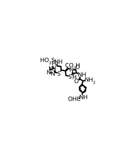 NC(C(=O)NC1C(=O)N2C(C(=O)O)=C(C(CCNS(=O)(=O)O)Sc3nnn[nH]3)CS[C@@H]12)c1ccc(NC=O)cc1